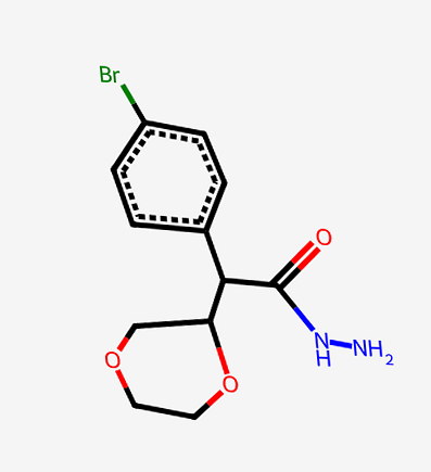 NNC(=O)C(c1ccc(Br)cc1)C1COCCO1